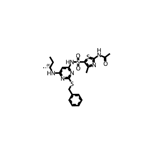 CC[C@@H](C)Nc1cc(NS(=O)(=O)c2sc(NC(C)=O)nc2C)nc(SCc2ccccc2)n1